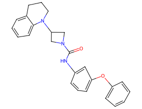 O=C(Nc1cccc(Oc2ccccc2)c1)N1CC(N2CCCc3ccccc32)C1